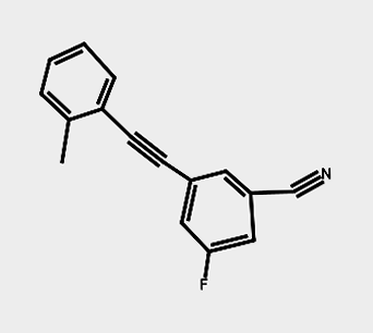 Cc1ccccc1C#Cc1cc(F)cc(C#N)c1